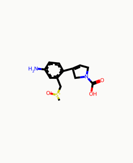 C[S+]([O-])Cc1cc(N)ccc1C1=CCN(C(=O)O)C1